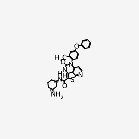 Cc1cc(Oc2ccccc2)ccc1N1C(=O)Nc2c(C(=O)N[C@@H]3CCC[C@H](N)C3)sc3nccc1c23